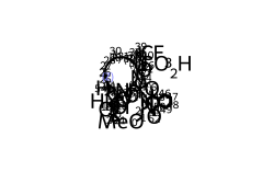 COCCn1nc(O[C@@H]2C[C@H]3C(=O)N[C@]4(C(=O)NS(=O)(=O)C5CC5)C[C@H]4/C=C\CC[C@@H](C)C[C@@H](C)[C@H](N(C(=O)O)C(C)(C)C(F)(F)F)C(=O)N3C2)c2ccccc2c1=O